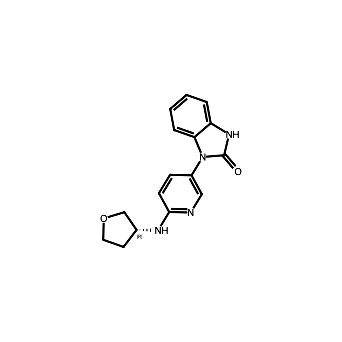 O=c1[nH]c2ccccc2n1-c1ccc(N[C@@H]2CCOC2)nc1